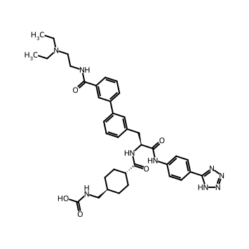 CCN(CC)CCNC(=O)c1cccc(-c2cccc(C[C@H](NC(=O)[C@H]3CC[C@H](CNC(=O)O)CC3)C(=O)Nc3ccc(-c4nnn[nH]4)cc3)c2)c1